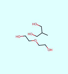 CC(CO)CO.OCCOCCO